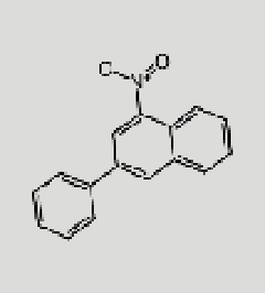 O=[N+]([O-])c1cc(-c2ccccc2)cc2ccccc12